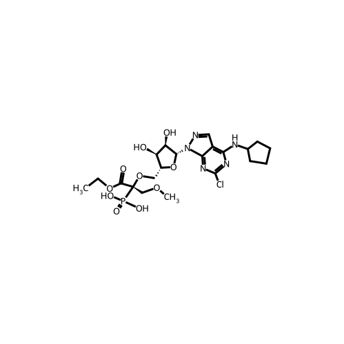 CCOC(=O)[C@](COC)(OC[C@H]1O[C@@H](n2ncc3c(NC4CCCC4)nc(Cl)nc32)[C@H](O)[C@@H]1O)P(=O)(O)O